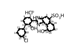 Cl.O=S(=O)(O)c1cc2[nH]c(-c3cccc(-c4cccc(Cl)c4)c3O)nc2c2c(O)cccc12